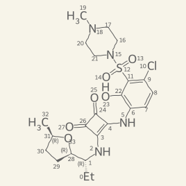 CC[C@@H](Nc1c(Nc2ccc(Cl)c(S(=O)(=O)N3CCN(C)CC3)c2O)c(=O)c1=O)[C@H]1CC[C@@H](C)O1